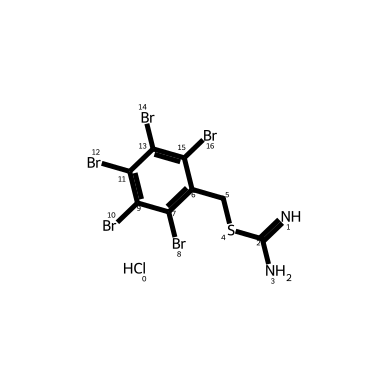 Cl.N=C(N)SCc1c(Br)c(Br)c(Br)c(Br)c1Br